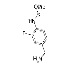 COSNc1ccc(CN)cc1F